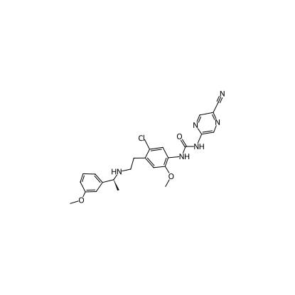 COc1cccc([C@H](C)NCCc2cc(OC)c(NC(=O)Nc3cnc(C#N)cn3)cc2Cl)c1